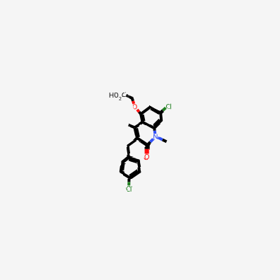 Cc1c(Cc2ccc(Cl)cc2)c(=O)n(C)c2cc(Cl)cc(OCC(=O)O)c12